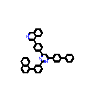 C1=Cc2c(cccc2-c2cccc(-c3nc(-c4ccc(-c5ccccc5)cc4)cc(-c4ccc(-c5cncc6ccccc56)cc4)n3)c2)CC1